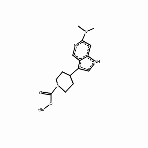 CN(C)c1cc2[nH]cc(C3CCN(C(=O)OC(C)(C)C)CC3)c2cn1